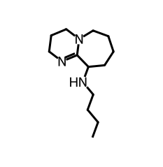 CCCCNC1CCCCN2CCCN=C12